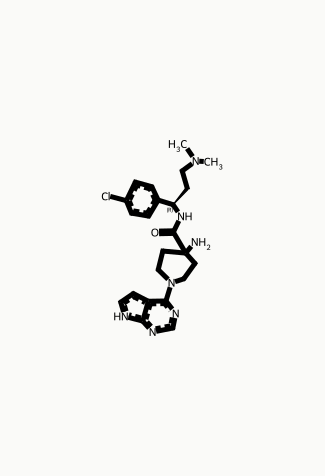 CN(C)CC[C@@H](NC(=O)C1(N)CCN(c2ncnc3[nH]ccc23)CC1)c1ccc(Cl)cc1